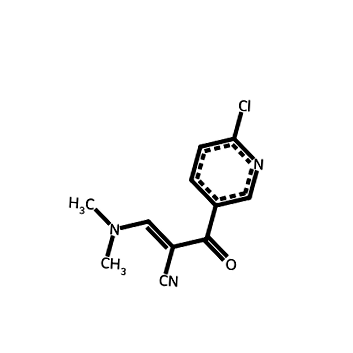 CN(C)C=C(C#N)C(=O)c1ccc(Cl)nc1